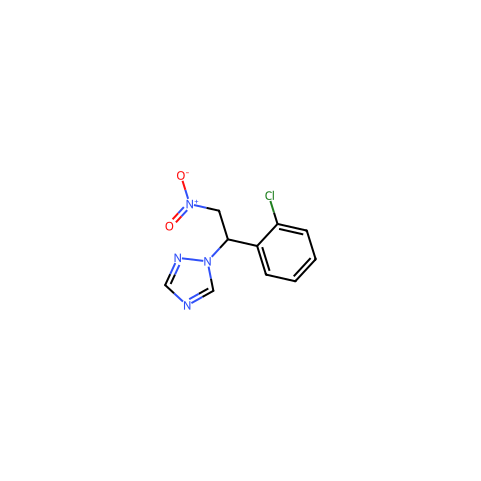 O=[N+]([O-])CC(c1ccccc1Cl)n1cncn1